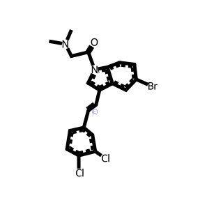 CN(C)CC(=O)n1cc(/C=C/c2ccc(Cl)c(Cl)c2)c2cc(Br)ccc21